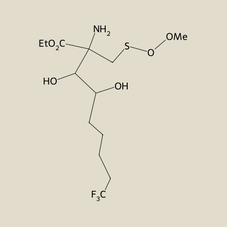 CCOC(=O)C(N)(CSOOC)C(O)C(O)CCCCC(F)(F)F